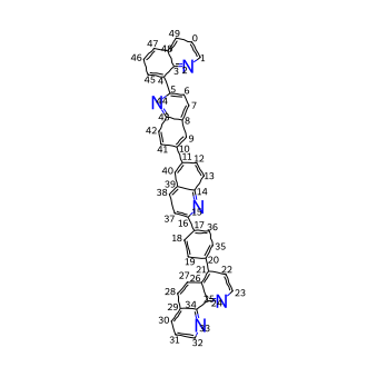 c1cnc2c(-c3ccc4cc(-c5ccc6nc(-c7ccc(-c8ccnc9c8ccc8cccnc89)cc7)ccc6c5)ccc4n3)cccc2c1